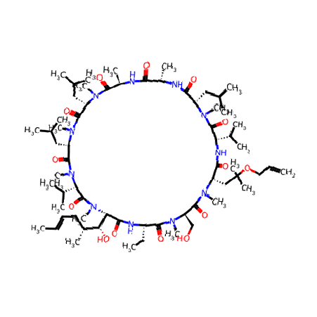 C=CCOC(C)(C)C[C@H]1C(=O)N[C@@H](C(C)C)C(=O)N(C)[C@@H](CC(C)C)C(=O)N[C@@H](C)C(=O)N[C@H](C)C(=O)N(C)[C@@H](CC(C)C)C(=O)N(C)[C@@H](CC(C)C)C(=O)N(C)[C@@H](C(C)C)C(=O)N(C)[C@@H]([C@H](O)[C@H](C)C/C=C/C)C(=O)N[C@@H](CC)C(=O)N(C)[C@H](CO)C(=O)N1C